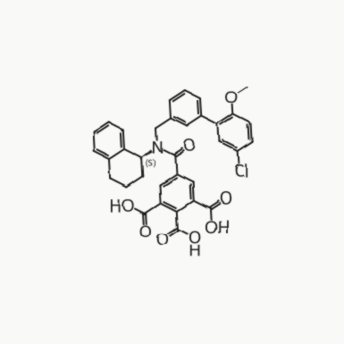 COc1ccc(Cl)cc1-c1cccc(CN(C(=O)c2cc(C(=O)O)c(C(=O)O)c(C(=O)O)c2)[C@H]2CCCc3ccccc32)c1